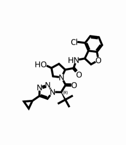 CC(C)(C)[C@H](C(=O)N1CC(O)CC1C(=O)NC1COc2cccc(Cl)c21)n1cc(C2CC2)nn1